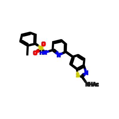 CC(=O)Nc1nc2ccc(-c3cccc(NS(=O)(=O)c4ccccc4C)n3)cc2s1